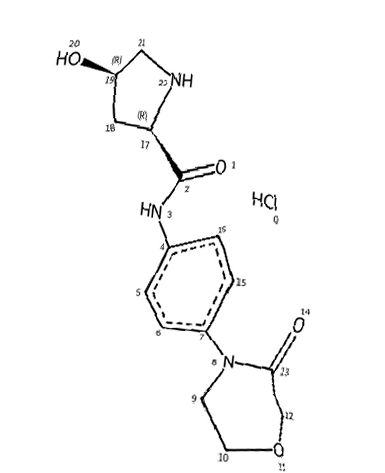 Cl.O=C(Nc1ccc(N2CCOCC2=O)cc1)[C@H]1C[C@@H](O)CN1